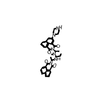 CCC(NC(C)N1C(=O)c2cccc3cccc(c23)C1=O)N(C)C(C)N1C(=O)c2cccc3cc(N4CCNCC4)cc(c23)C1=O